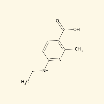 CCNc1ccc(C(=O)O)c(C)n1